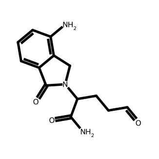 NC(=O)C(CCC=O)N1Cc2c(N)cccc2C1=O